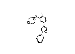 Cc1ccc(-c2coc(-c3ccccc3)c2)cc1SN1CCOCC1